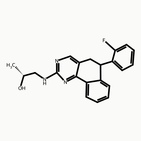 C[C@@H](O)CNc1ncc2c(n1)-c1ccccc1C(c1ccccc1F)C2